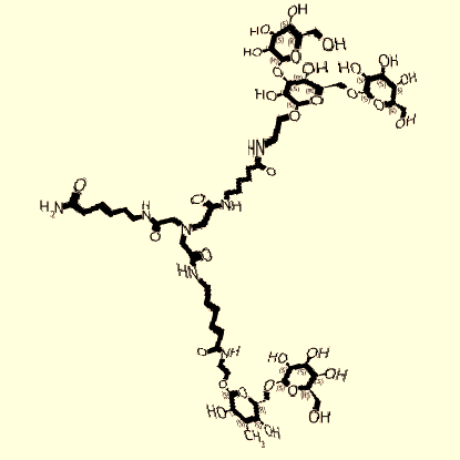 C[C@@H]1[C@H](O)[C@@H](OCCNC(=O)CCCCCNC(=O)CN(CC(=O)NCCCCCC(N)=O)CC(=O)NCCCCCC(=O)NCCO[C@H]2O[C@H](CO[C@H]3O[C@H](CO)[C@@H](O)[C@H](O)[C@@H]3O)[C@@H](O)[C@H](O[C@H]3O[C@H](CO)[C@@H](O)[C@H](O)[C@@H]3O)[C@@H]2O)O[C@H](CO[C@H]2O[C@H](CO)[C@@H](O)[C@H](O)[C@@H]2O)[C@H]1O